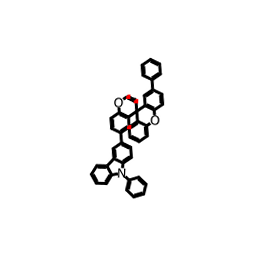 c1ccc(-c2ccc3c(c2)C2(c4ccccc4O3)c3ccccc3Oc3ccc(-c4ccc5c(c4)c4ccccc4n5-c4ccccc4)cc32)cc1